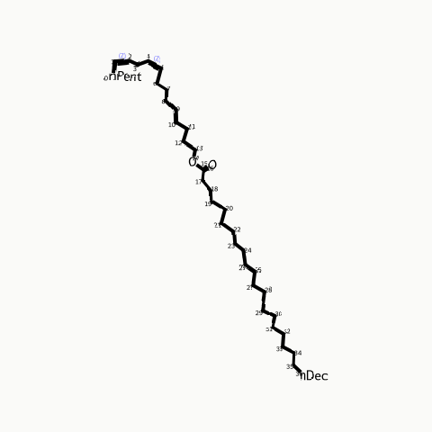 CCCCC/C=C\C/C=C\CCCCCCCCOC(=O)CCCCCCCCCCCCCCCCCCCCCCCCCCCCC